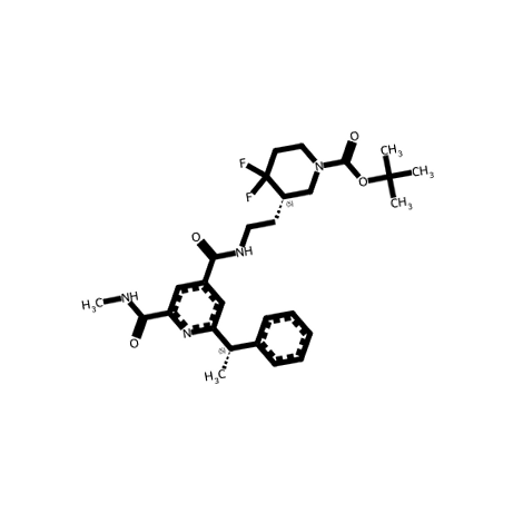 CNC(=O)c1cc(C(=O)NCC[C@H]2CN(C(=O)OC(C)(C)C)CCC2(F)F)cc([C@@H](C)c2ccccc2)n1